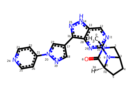 CN1CC2CC[C@@H](C1=O)N2c1ncc2[nH]nc(-c3cnn(-c4ccncc4)c3)c2n1